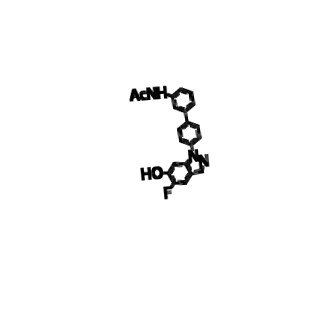 CC(=O)Nc1cccc(-c2ccc(-n3ncc4cc(F)c(O)cc43)cc2)c1